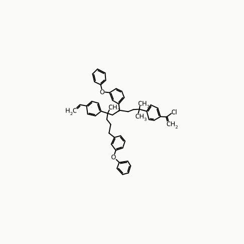 C=Cc1ccc(C(C)(CCCc2cccc(Oc3ccccc3)c2)CC(CCC(C)(C)c2ccc(C(=C)Cl)cc2)c2cccc(Oc3ccccc3)c2)cc1